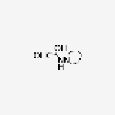 O=[C]C(O)NN1CCCCC1